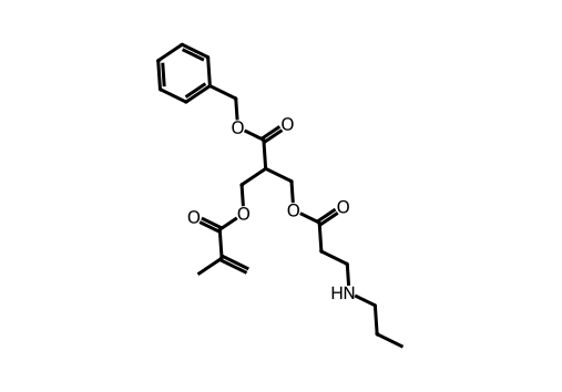 C=C(C)C(=O)OCC(COC(=O)CCNCCC)C(=O)OCc1ccccc1